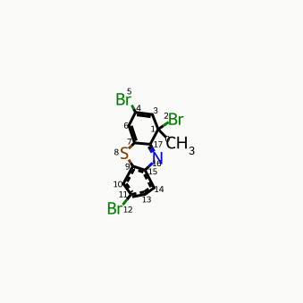 CC1(Br)C=C(Br)C=C2Sc3cc(Br)ccc3N=C21